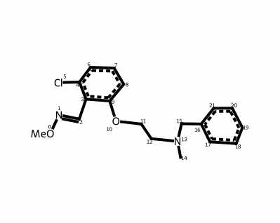 CON=Cc1c(Cl)cccc1OCCN(C)Cc1ccccc1